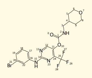 O=C(NCC1CCOCC1)Oc1cnc(Nc2cccc(Br)c2)nc1C(F)(F)F